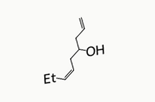 C=CCC(O)C/C=C\CC